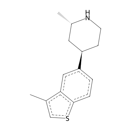 Cc1csc2ccc([C@@H]3CCN[C@@H](C)C3)cc12